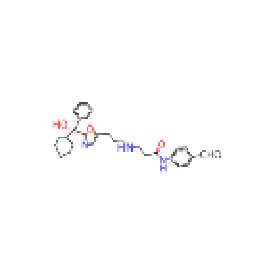 O=Cc1ccc(NC(=O)CCNCCCc2cnc([C@](O)(c3ccccc3)C3CCCCC3)o2)cc1